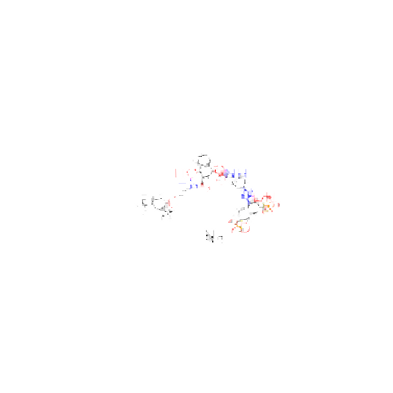 CCC(C)(C)c1ccc(OCCCCNC(=O)c2cc(OC(=O)Nc3ccc(N=Nc4c(O)c(S(=O)(=O)[O-])cc5cc(S(=O)(=O)[O-])ccc45)cc3)c3ccccc3c2O)c(C(C)(C)CC)c1.[Na+].[Na+]